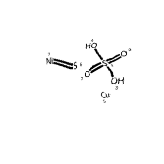 O=S(=O)(O)O.[Cu].[S]=[Ni]